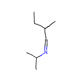 CCC(C)/B=N\C(C)C